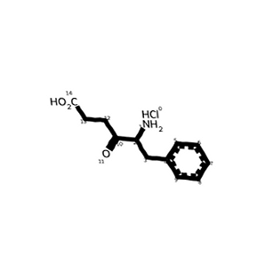 Cl.NC(Cc1ccccc1)C(=O)CCC(=O)O